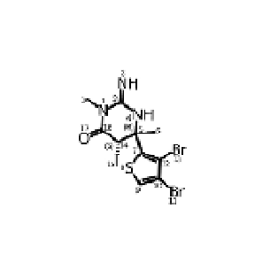 CN1C(=N)N[C@](C)(c2scc(Br)c2Br)[C@H](I)C1=O